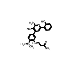 CN(C)c1ccc(-c2cc(-c3ccccc3O)nc(N)c2C#N)cc1NCCC(N)=O